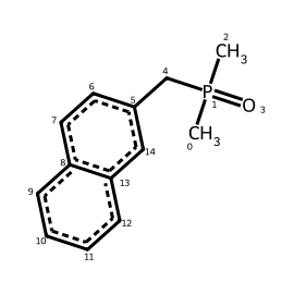 CP(C)(=O)Cc1ccc2ccccc2c1